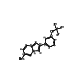 FC(F)(F)Oc1cccc(-c2cc3ccc(Br)cn3n2)c1